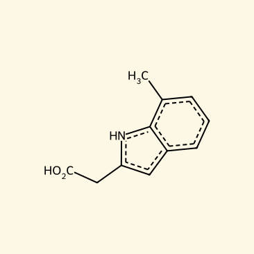 Cc1cccc2cc(CC(=O)O)[nH]c12